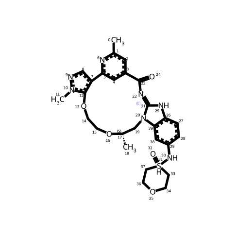 Cc1cc2cc(n1)-c1cnn(C)c1OCCO[C@@H](C)CN1/C(=N/C2=O)Nc2ccc(N[SH]3(=O)CCOCC3)cc21